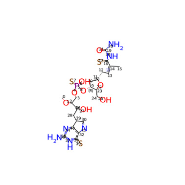 COC(COP(O)(=S)O[C@@H]1C[C@H](C/C=C(/C)C(=S)NC(N)=O)OC1CO)[C@H](O)CC1C=Nc2c1nc(N)[nH]c2=S